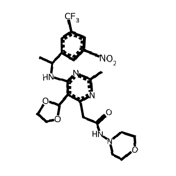 Cc1nc(CC(=O)NN2CCOCC2)c(C2OCCO2)c(NC(C)c2cc([N+](=O)[O-])cc(C(F)(F)F)c2)n1